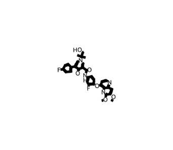 COc1cc2nccc(Oc3ccc(NC(=O)c4cn(C(C)(C)CO)cc(-c5ccc(F)cc5)c4=O)cc3F)c2nc1OC